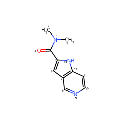 CN(C)C(=O)c1cc2cnccc2[nH]1